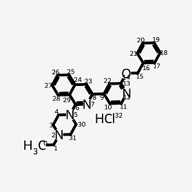 CCN1CCN(c2nc(-c3ccnc(OCc4ccccc4)c3)cc3ccccc23)CC1.Cl